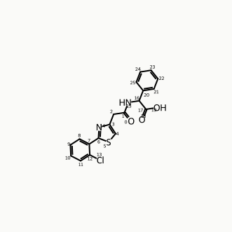 O=C(Cc1csc(-c2ccccc2Cl)n1)NC(C(=O)O)c1ccccc1